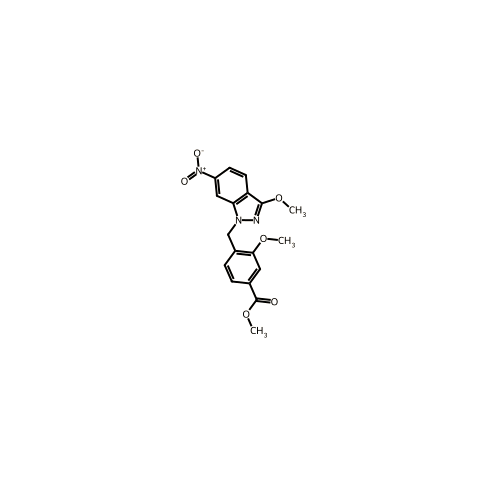 COC(=O)c1ccc(Cn2nc(OC)c3ccc([N+](=O)[O-])cc32)c(OC)c1